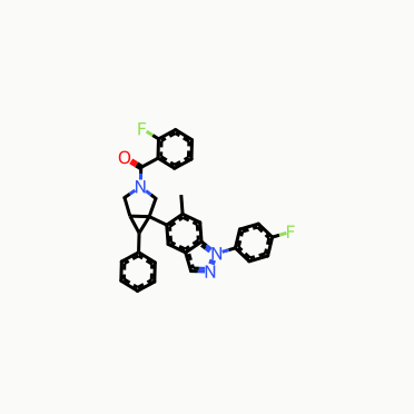 Cc1cc2c(cnn2-c2ccc(F)cc2)cc1C12CN(C(=O)c3ccccc3F)CC1C2c1ccccc1